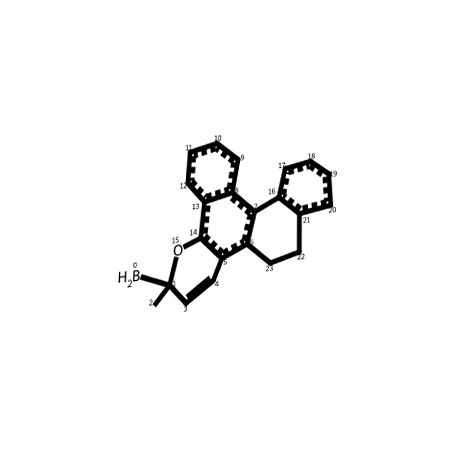 BC1(C)C=Cc2c3c(c4ccccc4c2O1)-c1ccccc1CC3